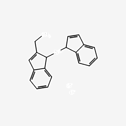 CCC1=Cc2ccccc2[CH]1[Zr+2][CH]1C=Cc2ccccc21.[Cl-].[Cl-]